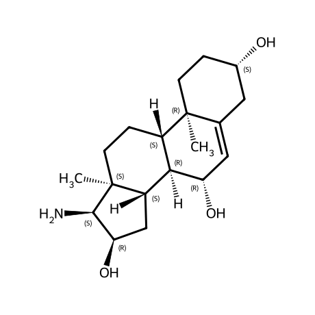 C[C@]12CC[C@H]3[C@@H]([C@@H](O)C=C4C[C@@H](O)CC[C@@]43C)[C@@H]1C[C@@H](O)[C@H]2N